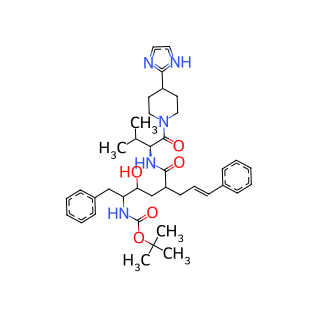 CC(C)[C@H](NC(=O)C(CC=Cc1ccccc1)CC(O)C(Cc1ccccc1)NC(=O)OC(C)(C)C)C(=O)N1CCC(c2ncc[nH]2)CC1